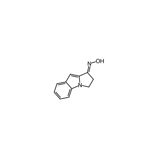 ON=C1CCn2c1cc1ccccc12